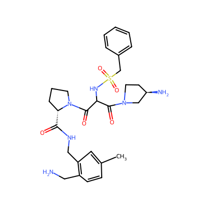 Cc1ccc(CN)c(CNC(=O)[C@@H]2CCCN2C(=O)C(NS(=O)(=O)Cc2ccccc2)C(=O)N2CC[C@@H](N)C2)c1